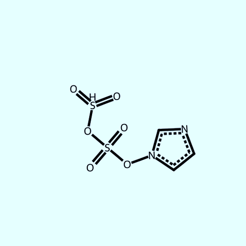 O=[SH](=O)OS(=O)(=O)On1ccnc1